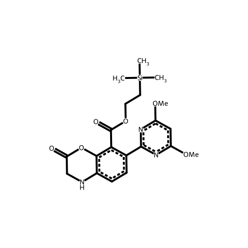 COc1cc(OC)nc(-c2ccc3c(c2C(=O)OCC[Si](C)(C)C)OC(=O)CN3)n1